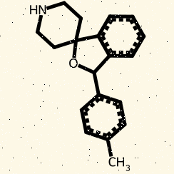 Cc1ccc(C2OC3(CCNCC3)c3ccccc32)cc1